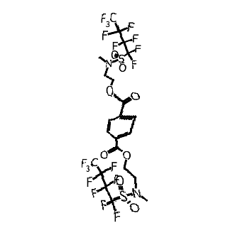 CN(CCOC(=O)c1ccc(C(=O)OCCN(C)S(=O)(=O)C(F)(F)C(F)(F)C(F)(F)C(F)(F)F)cc1)S(=O)(=O)C(F)(F)C(F)(F)C(F)(F)C(F)(F)F